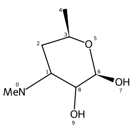 CNC1C[C@@H](C)O[C@@H](O)C1O